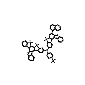 CC(C)(C)c1ccc(N(c2ccc3c(c2)C(C)(C)c2cc(-c4cccc5ccccc45)c4oc5ccccc5c4c2-3)c2ccc3c(c2)C(C)(C)c2c4c(c5oc6ccccc6c5c2-3)-c2ccccc2C4(C)C)cc1